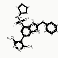 Cc1noc(C)c1-c1cc(S(=O)(=O)NC2CCCC2)c2nc(Cc3ccccc3)[nH]c2c1